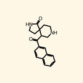 O=C(c1ccc2ccccc2c1)C1CNCCC12CCNC2=O